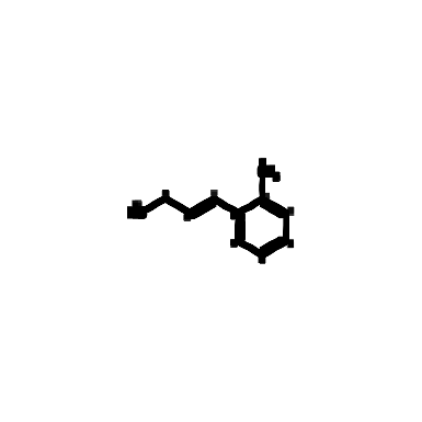 Cc1ccccc1C=CCO